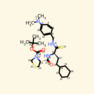 CN(C)c1ccc(CNC(=S)[C@@H](CCC2CCCCC2)NC(=O)[C@@H]2CSCN2C(=O)OC(C)(C)C)cc1